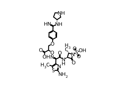 Cc1sc(N)nc1/C(=N/OC(COc1ccc(C(=N)N[C@@H]2CCNC2)cc1)C(=O)O)C(=O)N[C@@H]1C(=O)N(S(=O)(=O)O)[C@H]1C